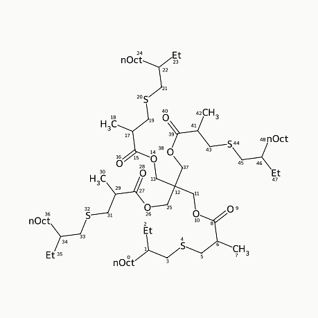 CCCCCCCCC(CC)CSCC(C)C(=O)OCC(COC(=O)C(C)CSCC(CC)CCCCCCCC)(COC(=O)C(C)CSCC(CC)CCCCCCCC)COC(=O)C(C)CSCC(CC)CCCCCCCC